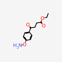 CCOC(=O)CCC(=O)c1ccc(ON)cc1